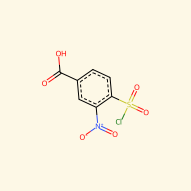 O=C(O)c1ccc(S(=O)(=O)Cl)c([N+](=O)[O-])c1